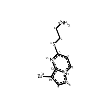 NCCSc1ccn2ncc(Br)c2n1